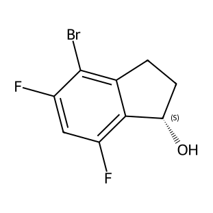 O[C@H]1CCc2c(Br)c(F)cc(F)c21